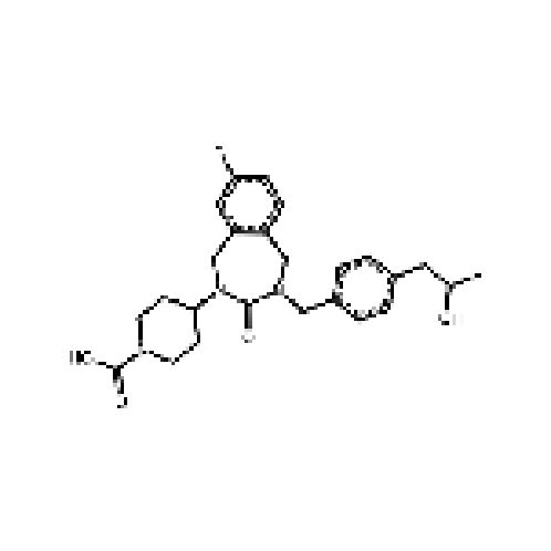 CC(O)Cc1ccc(CN2Cc3ccc(F)cc3CN(C3CCN(C(=O)O)CC3)C2=O)cc1